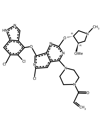 C=CC(=O)N1CCN(c2nc(O[C@@H]3CN(C)C[C@H]3OC)nc3c(Oc4c(Cl)c(Cl)cc5[nH]ncc45)nc(Cl)cc23)CC1